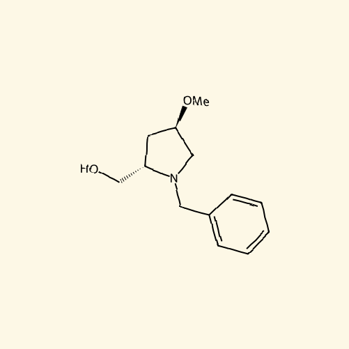 CO[C@@H]1C[C@@H](CO)N(Cc2ccccc2)C1